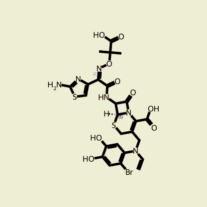 C=CN(CC1=C(C(=O)O)N2C(=O)C(NC(=O)/C(=N\OC(C)(C)C(=O)O)c3csc(N)n3)[C@@H]2SC1)c1cc(O)c(O)cc1Br